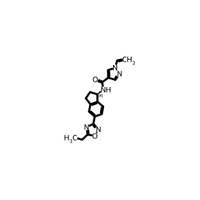 C=Cn1cc(C(=O)N[C@@H]2CCc3cc(-c4noc(CC)n4)ccc32)cn1